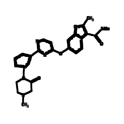 CNC(=O)c1c(C)oc2cc(Oc3ccnc(-c4cccc(N5CCN(C)CC5=O)c4)n3)ccc12